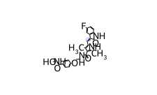 Cc1[nH]c(/C=C2\C(=O)Nc3ccc(F)cc32)c(C)c1C(=O)NCCOc1ccc(C(=O)NO)cc1